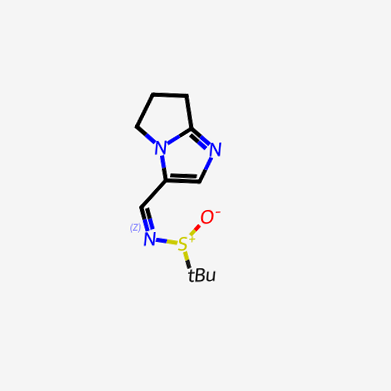 CC(C)(C)[S+]([O-])/N=C\c1cnc2n1CCC2